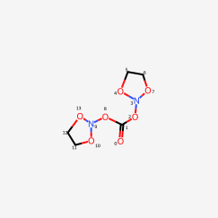 O=C(ON1OCCO1)ON1OCCO1